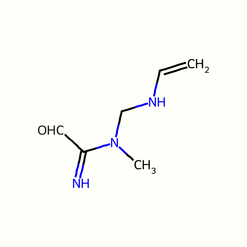 C=CNCN(C)C(=N)C=O